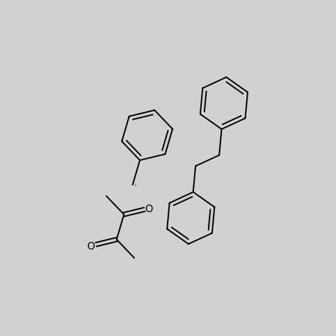 CC(=O)C(C)=O.[CH2]c1ccccc1.c1ccc(CCc2ccccc2)cc1